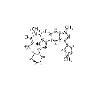 C[C@H]1C(=O)N(C)Cc2c(-c3cc4c(-c5cnn(C)c5)nn(C)c4cc3F)nc(C3=CCOCC3)n21